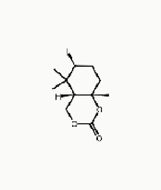 CC1(C)[C@H]2COC(=O)O[C@@]2(C)CC[C@@H]1I